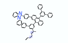 C=C/C=C\C=C(/C)c1cc(-c2ccccc2)cc(-c2c3ccccc3c(-c3cc(-c4ccccc4)cc(-c4ccccc4)c3)c3ccc(-c4ccc(-c5nc6ccccc6n5-c5ccccc5)cc4)cc23)c1